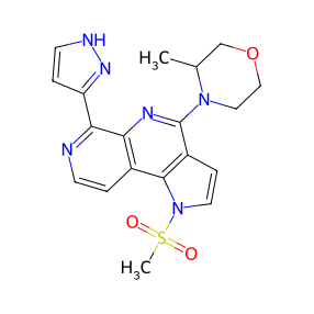 CC1COCCN1c1nc2c(-c3cc[nH]n3)nccc2c2c1ccn2S(C)(=O)=O